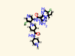 CCC1(C)C(F)CNc2c(C(=O)Nc3cncc(F)c3N3CCC(C(=O)NC4CCN(C)CC4)CC3)c(N)nn21